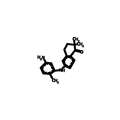 Cc1ccc(N)cc1Nc1ccc2c(c1)CCC(C)(C)C2=O